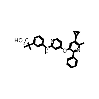 Cc1nc(-c2ccccc2)c(Oc2ccnc(Nc3cccc(C(C)(C)C(=O)O)c3)c2)cc1C1CC1